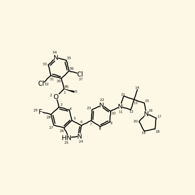 C[C@@H](Oc1cc2c(-c3ccc(N4CC(C)(CN5CCCC5)C4)nc3)n[nH]c2cc1F)c1c(Cl)cncc1Cl